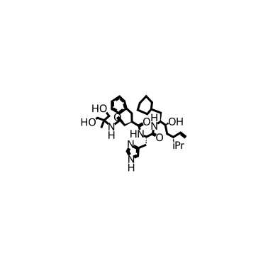 C=C[C@@H](C[C@H](O)[C@H](CC1CCCCC1)NC(=O)[C@H](Cc1c[nH]cn1)NC(=O)[C@@H](CC(=O)NC(C)(CO)CO)Cc1ccccc1)C(C)C